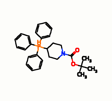 CC(C)(C)OC(=O)N1CCC([PH](c2ccccc2)(c2ccccc2)c2ccccc2)CC1